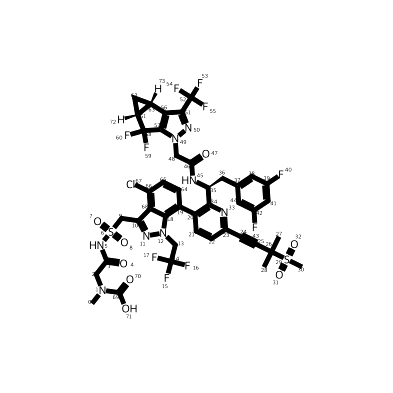 CN(CC(=O)NS(=O)(=O)Cc1nn(CC(F)(F)F)c2c(-c3ccc(C#CC(C)(C)S(C)(=O)=O)nc3[C@H](Cc3cc(F)cc(F)c3)NC(=O)Cn3nc(C(F)(F)F)c4c3C(F)(F)[C@@H]3C[C@H]43)ccc(Cl)c12)C(=O)O